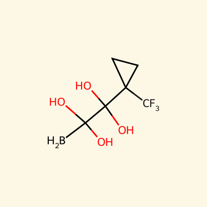 BC(O)(O)C(O)(O)C1(C(F)(F)F)CC1